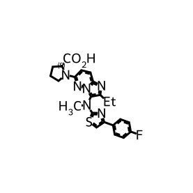 CCc1nc2ccc(N3CCC[C@H]3C(=O)O)nn2c1N(C)c1nc(-c2ccc(F)cc2)cs1